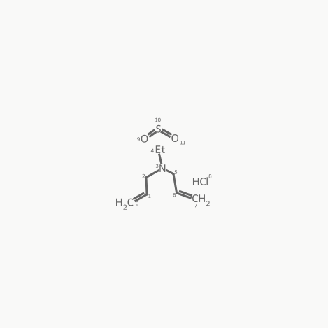 C=CCN(CC)CC=C.Cl.O=S=O